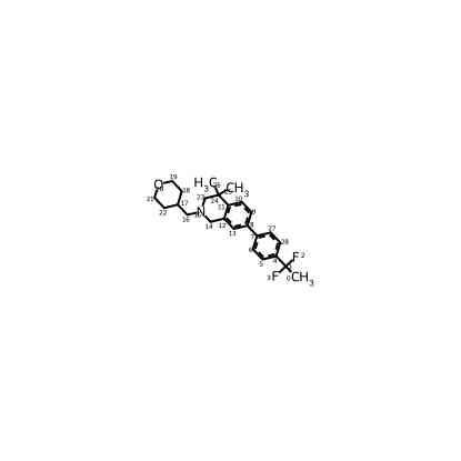 CC(F)(F)c1ccc(-c2ccc3c(c2)CN(CC2CCOCC2)CC3(C)C)cc1